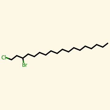 CCCCCCCCCCCCCCCC(Br)CCCl